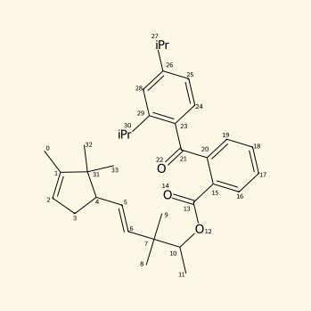 CC1=CCC(C=CC(C)(C)C(C)OC(=O)c2ccccc2C(=O)c2ccc(C(C)C)cc2C(C)C)C1(C)C